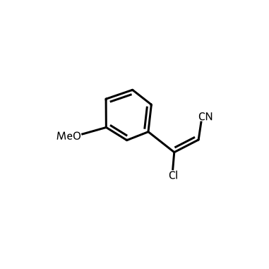 COc1cccc(/C(Cl)=C\C#N)c1